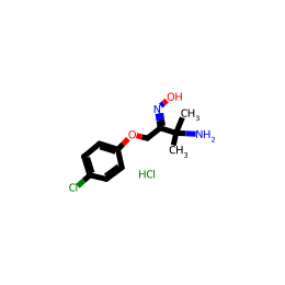 CC(C)(N)C(COc1ccc(Cl)cc1)=NO.Cl